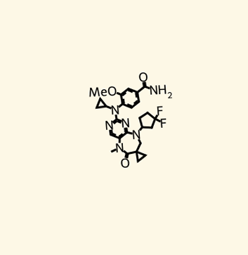 COc1cc(C(N)=O)ccc1N(c1ncc2c(n1)N(C1CCC(F)(F)C1)CC1(CC1)C(=O)N2C)C1CC1